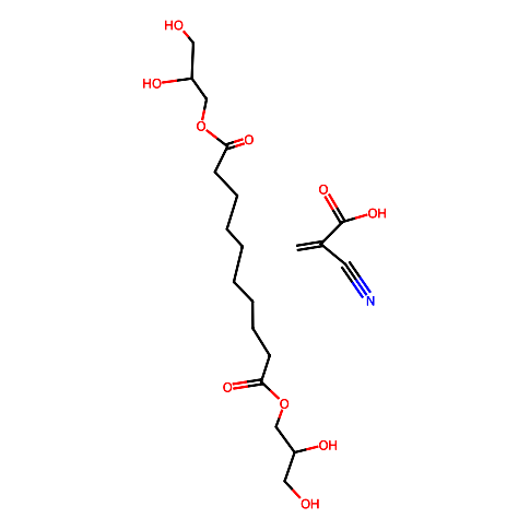 C=C(C#N)C(=O)O.O=C(CCCCCCCCC(=O)OCC(O)CO)OCC(O)CO